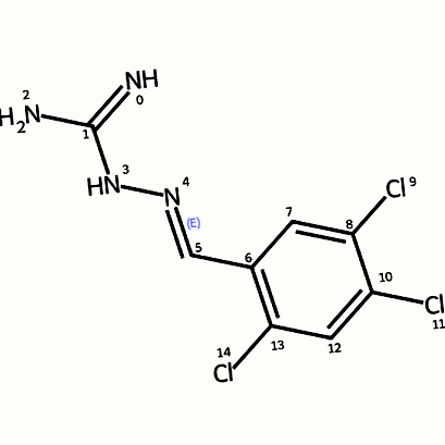 N=C(N)N/N=C/c1cc(Cl)c(Cl)cc1Cl